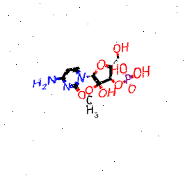 CO[C@@]1(O)[C@H](OP(=O)(O)O)[C@@H](CO)O[C@H]1n1ccc(N)nc1=O